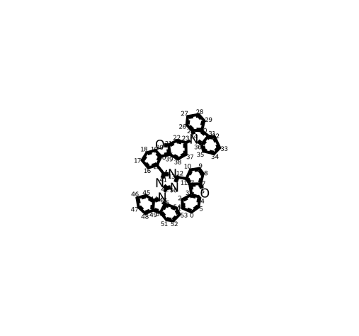 c1ccc2c(c1)oc1cccc(-c3nc(-c4cccc5oc6cc(-n7c8ccccc8c8ccccc87)ccc6c45)nc(-n4c5ccccc5c5ccccc54)n3)c12